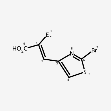 CC/C(=C\c1csc(Br)n1)C(=O)O